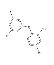 O=Cc1cc(Br)ccc1Oc1cc(F)cc(F)c1